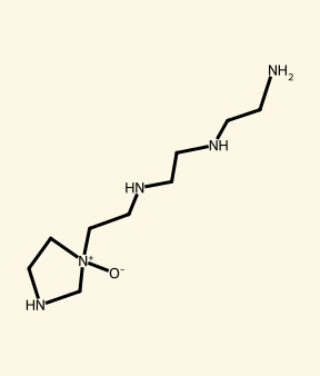 NCCNCCNCC[N+]1([O-])CCNC1